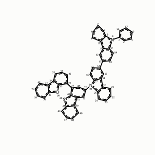 c1ccc(-n2c3ccccc3c3cc(-c4ccc5c(c4)c4ccccc4n5-c4cc(-c5cccc6c5oc5ccccc56)c5sc6ccccc6c5c4)ccc32)cc1